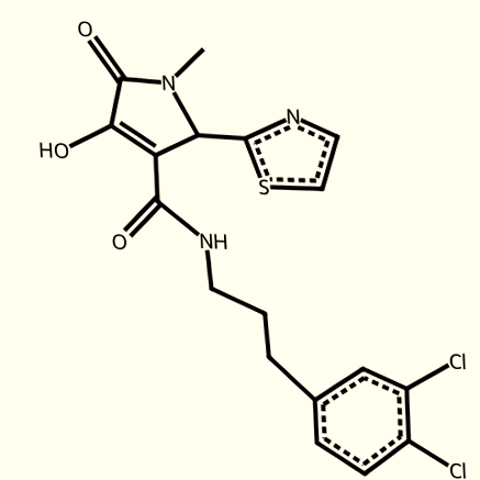 CN1C(=O)C(O)=C(C(=O)NCCCc2ccc(Cl)c(Cl)c2)C1c1nccs1